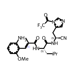 COc1cccc(N)c1/C=C(\C)C(=O)N[C@@H](CC(C)C)C(=O)N[C@H](C#N)Cc1cncn1C(=O)C(F)(F)F